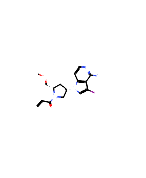 C=CC(=O)N1C[C@@H](n2cc(I)c3c(N)nccc32)C[C@@H]1COC